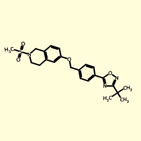 CC(C)(C)c1noc(-c2ccc(COc3ccc4c(c3)CCN(S(C)(=O)=O)C4)cc2)n1